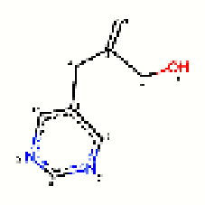 C=C(CO)Cc1cncnc1